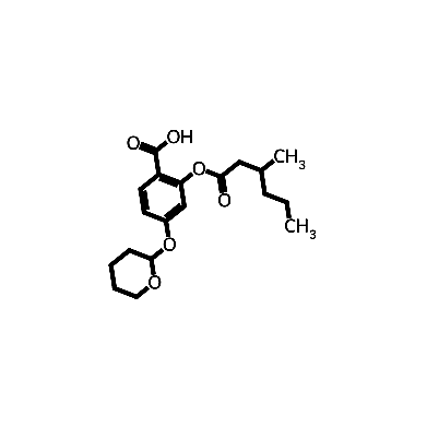 CCCC(C)CC(=O)Oc1cc(OC2CCCCO2)ccc1C(=O)O